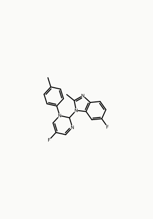 Cc1ccc(N2C=C(F)C=NC2n2c(C)nc3ccc(F)cc32)cc1